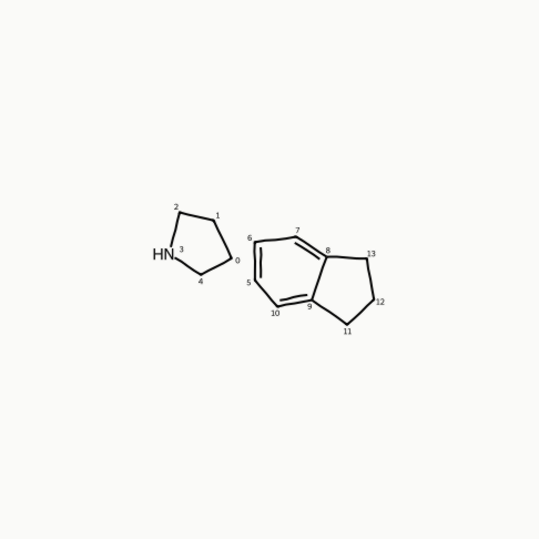 C1CCNC1.c1ccc2c(c1)CCC2